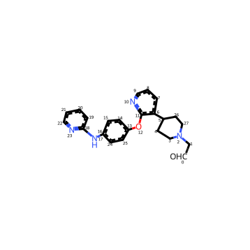 O=CCN1CCC(c2cccnc2Oc2ccc(Nc3ccccn3)cc2)CC1